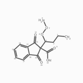 CCCC(OON)C1(C(=O)O)C(=O)c2ccccc2C1=O